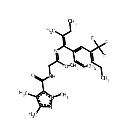 C\C=C/C(=C\C(=C\CC)C(F)(F)F)C(/N=C(/CNC(=O)c1c(C)c(C)nn1C)OC)=C(/C)CC